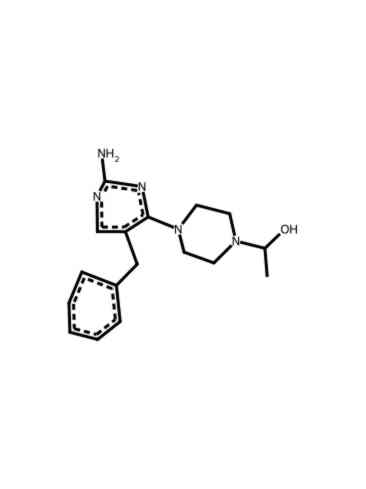 CC(O)N1CCN(c2nc(N)ncc2Cc2ccccc2)CC1